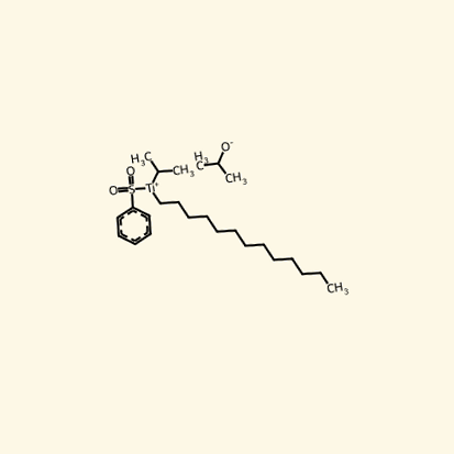 CC(C)[O-].CCCCCCCCCCCC[CH2][Ti+]([CH](C)C)[S](=O)(=O)c1ccccc1